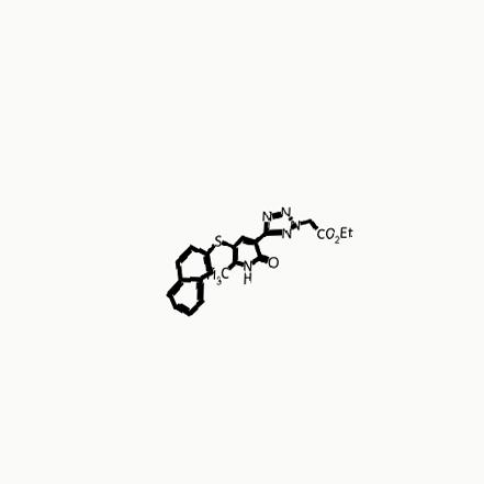 CCOC(=O)Cn1nnc(-c2cc(Sc3ccc4ccccc4c3)c(C)[nH]c2=O)n1